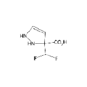 O=C(O)C1(C(F)F)C=CNN1